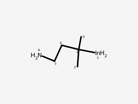 C[C](C)([InH2])CCN